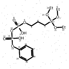 CCO[Si](CCCOP(=O)(O)OP(=O)(O)Oc1ccccc1)(OCC)OCC